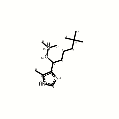 Cc1[nH]cnc1C(CCCC(C)(C)C)O[SiH](C)C